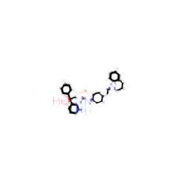 C[C@H](NC(=O)N[C@H]1CC[C@H](CCN2CCCc3ccccc32)CC1)C(O)(c1ccccc1)c1ccccc1